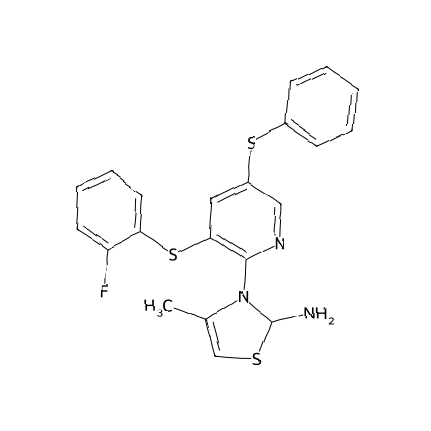 CC1=CSC(N)N1c1ncc(Sc2ccccc2)cc1Sc1ccccc1F